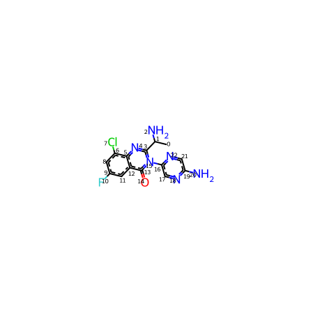 CC(N)c1nc2c(Cl)cc(F)cc2c(=O)n1-c1cnc(N)cn1